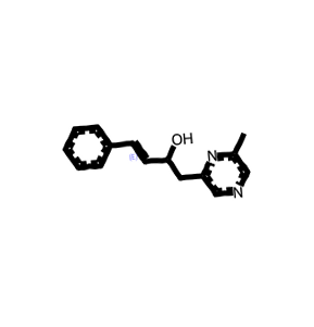 Cc1cncc(CC(O)/C=C/c2ccccc2)n1